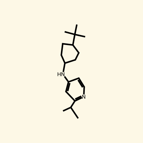 CC(C)c1cc(NC2CCC(C(C)(C)C)CC2)ccn1